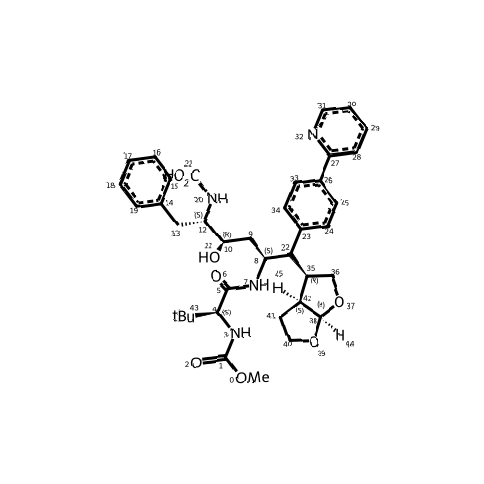 COC(=O)N[C@H](C(=O)N[C@@H](C[C@@H](O)[C@H](Cc1ccccc1)NC(=O)O)C(c1ccc(-c2ccccn2)cc1)[C@H]1CO[C@H]2OCC[C@H]21)C(C)(C)C